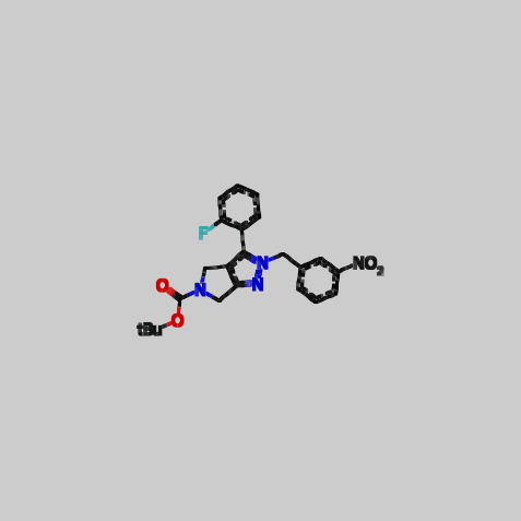 CC(C)(C)OC(=O)N1Cc2nn(Cc3cccc([N+](=O)[O-])c3)c(-c3ccccc3F)c2C1